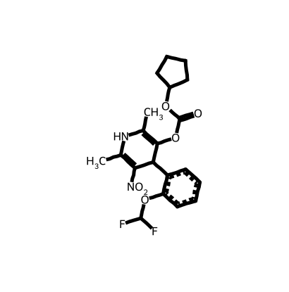 CC1=C(OC(=O)OC2CCCC2)C(c2ccccc2OC(F)F)C([N+](=O)[O-])=C(C)N1